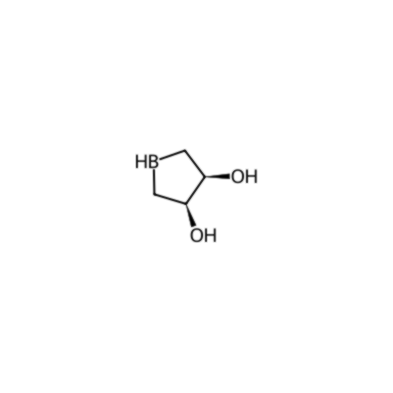 O[C@@H]1CBC[C@@H]1O